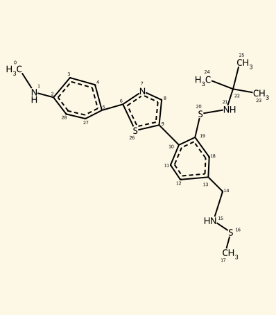 CNc1ccc(-c2ncc(-c3ccc(CNSC)cc3SNC(C)(C)C)s2)cc1